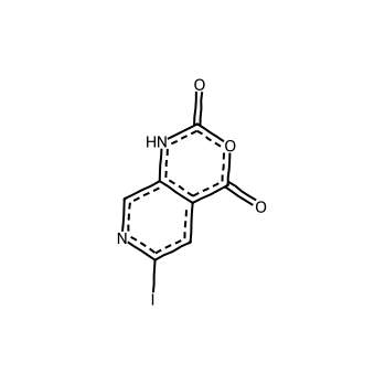 O=c1[nH]c2cnc(I)cc2c(=O)o1